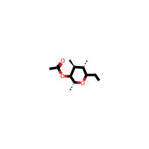 CCC1O[C@H](C)C(OC(C)=O)[C@@H](C)[C@@H]1C